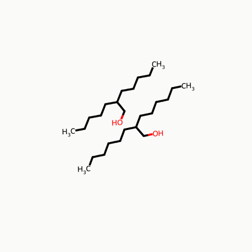 CCCCCC(CO)CCCCC.CCCCCCC(CO)CCCCCC